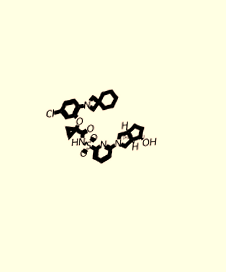 O=C(NS(=O)(=O)c1cccc(N2C[C@H]3CC[C@@H](O)[C@H]3C2)n1)C1(Oc2cc(Cl)ccc2N2CC3(CCCCC3)C2)CC1